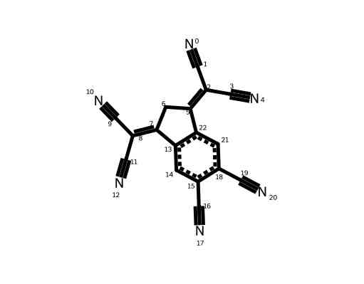 N#CC(C#N)=C1CC(=C(C#N)C#N)c2cc(C#N)c(C#N)cc21